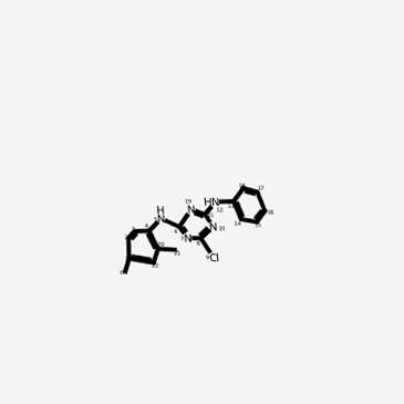 Cc1ccc(Nc2nc(Cl)nc(Nc3ccccc3)n2)c(C)c1